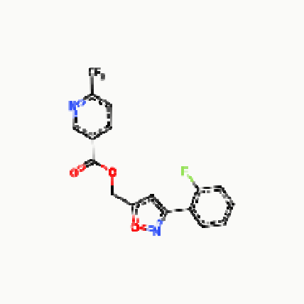 O=C(OCc1cc(-c2ccccc2F)no1)c1ccc(C(F)(F)F)nc1